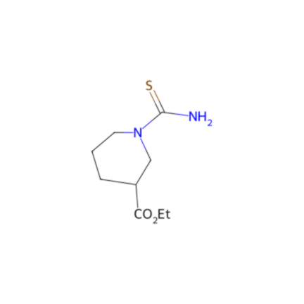 CCOC(=O)C1CCCN(C(N)=S)C1